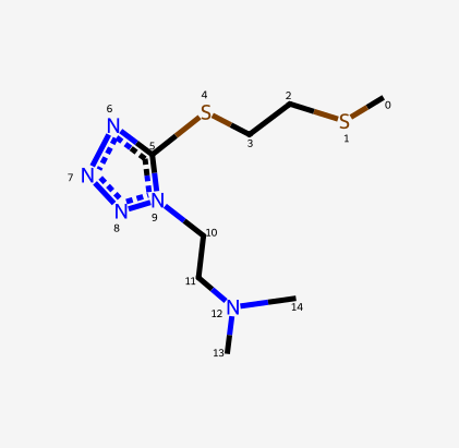 CSCCSc1nnnn1CCN(C)C